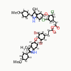 COc1ccc(-c2[nH]c3ccc(Oc4c(Cl)cc(CC(=O)OC(=O)CCc5cc(Br)c(Oc6ccc7[nH]c(-c8ccc(OC)cc8)c(C)c7c6)c(Br)c5)cc4Cl)cc3c2C)cc1